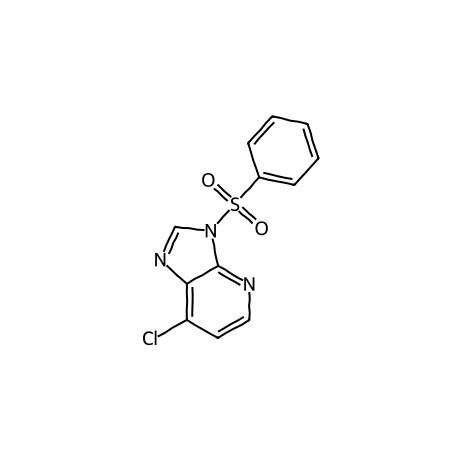 O=S(=O)(c1ccccc1)n1cnc2c(Cl)ccnc21